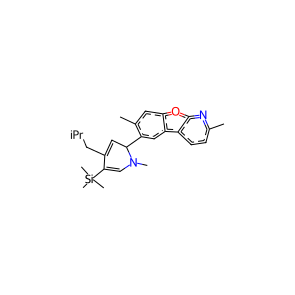 Cc1ccc2c(n1)oc1cc(C)c(C3C=C(CC(C)C)C([Si](C)(C)C)=CN3C)cc12